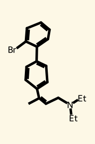 CCN(CC)C/C=C(/C)c1ccc(-c2ccccc2Br)cc1